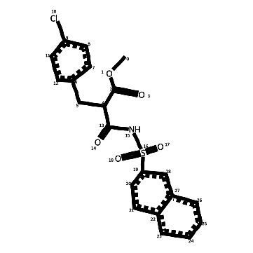 COC(=O)C(Cc1ccc(Cl)cc1)C(=O)NS(=O)(=O)c1ccc2ccccc2c1